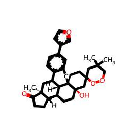 CC1(C)COOC2(CC[C@@]34Cc5cc(-c6ccoc6)ccc5[C@H]5C[C@]6(C)C(=O)CC[C@H]6[C@H](CC[C@@]3(O)C2)[C@H]54)C1